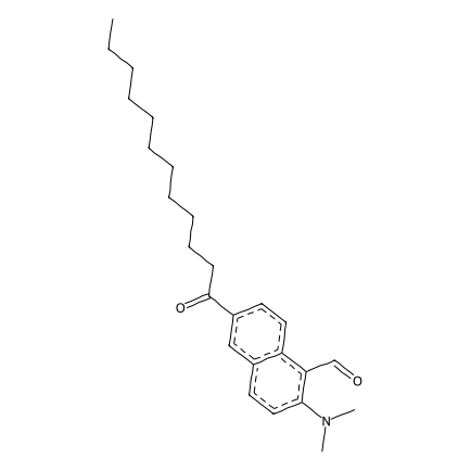 CCCCCCCCCCCC(=O)c1ccc2c(C=O)c(N(C)C)ccc2c1